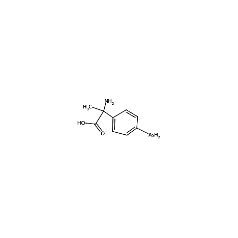 CC(N)(C(=O)O)c1ccc([AsH2])cc1